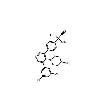 CC(C)(C#N)c1ccc(-c2cncc(-c3cc(Cl)cc(Cl)c3)c2N2CCC(N)CC2)cc1